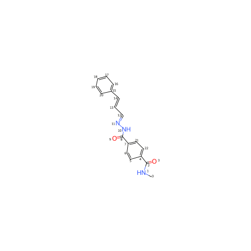 CNC(=O)c1ccc(C(=O)N/N=C/C=C/c2ccccc2)cc1